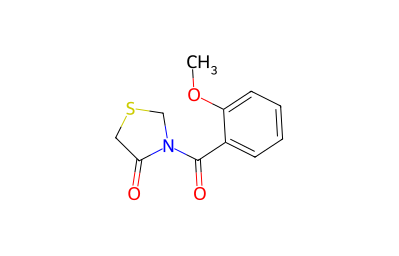 COc1ccccc1C(=O)N1CSCC1=O